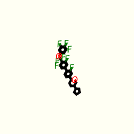 Fc1cc(C2CCC(C3CCCC3)CO2)ccc1-c1cc(F)c(C(F)(F)Oc2cc(F)c(F)c(F)c2)c(F)c1